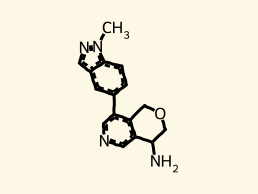 Cn1ncc2cc(-c3cncc4c3COCC4N)ccc21